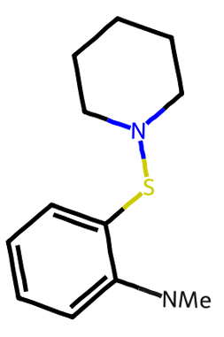 CNc1ccccc1SN1CCCCC1